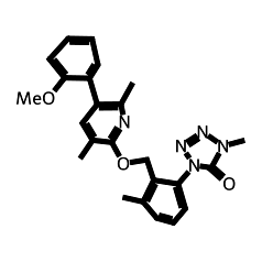 COc1ccccc1-c1cc(C)c(OCc2c(C)cccc2-n2nnn(C)c2=O)nc1C